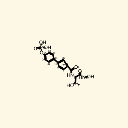 C[C@@H](O)[C@H](NC(=O)c1ccc(-c2ccc(OP(=O)(O)O)cc2)cc1)C(=O)NO